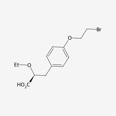 CCO[C@@H](Cc1ccc(OCCBr)cc1)C(=O)O